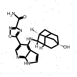 NC(=O)c1noc(-c2cnc3[nH]ccc3c2N[C@H]2[C@@H]3CC4C[C@H]2C[C@@](O)(C4)C3)n1